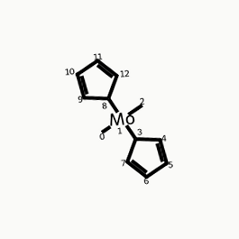 [CH3][Mo]([CH3])([CH]1C=CC=C1)[CH]1C=CC=C1